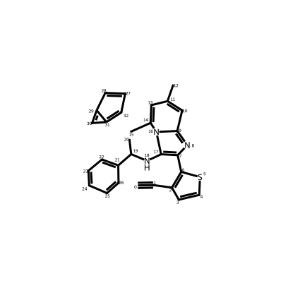 C#Cc1ccsc1-c1nc2cc(C)cc(C)n2c1NC(C)c1ccccc1.c1cc2cc-2c1